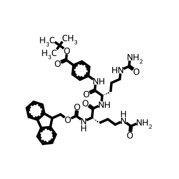 CC(C)(C)OC(=O)c1ccc(NC(=O)[C@H](CCCNC(N)=O)NC(=O)[C@H](CCCNC(N)=O)NC(=O)OCC2c3ccccc3-c3ccccc32)cc1